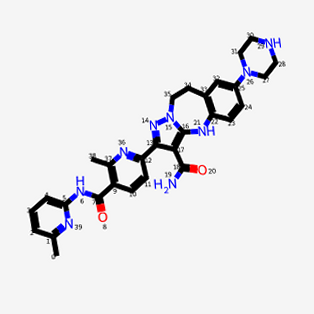 Cc1cccc(NC(=O)c2ccc(-c3nn4c(c3C(N)=O)Nc3ccc(N5CCNCC5)cc3CC4)nc2C)n1